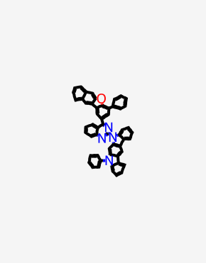 c1ccc(-c2cc(-c3nc(-n4c5ccccc5c5cc6c7ccccc7n(-c7ccccc7)c6cc54)nc4ccccc34)cc3c2oc2cc4ccccc4cc23)cc1